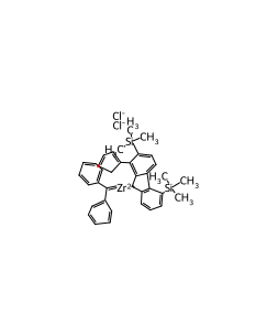 C[Si](C)(C)c1ccc2c(c1C1=CC=CC1)[CH]([Zr+2]=[C](c1ccccc1)c1ccccc1)c1cccc([Si](C)(C)C)c1-2.[Cl-].[Cl-]